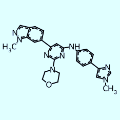 Cn1cnc(-c2ccc(Nc3cc(-c4ccc5cnn(C)c5c4)nc(N4CCOCC4)n3)cc2)c1